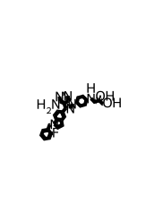 Nc1ncnc2c1c(-c1ccc3c(ccn3Cc3ccccc3F)c1)nn2[C@H]1CC[C@@H](NC[C@@H](O)CO)CC1